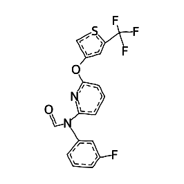 O=CN(c1cccc(F)c1)c1cccc(Oc2csc(C(F)(F)F)c2)n1